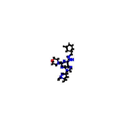 Cc1cccc(/C=N/Nc2nc(N3CCOCC3)nc3c2ncn3-c2cc(C)n(C)n2)c1